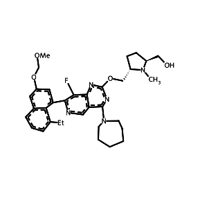 CCc1cccc2cc(OCOC)cc(-c3ncc4c(N5CCCCCC5)nc(OC[C@@H]5CC[C@@H](CO)N5C)nc4c3F)c12